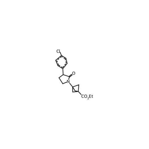 CCOC(=O)C12CC(N3CCC(c4ccc(Cl)cc4)C3=O)(C1)C2